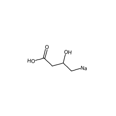 O=C(O)CC(O)[CH2][Na]